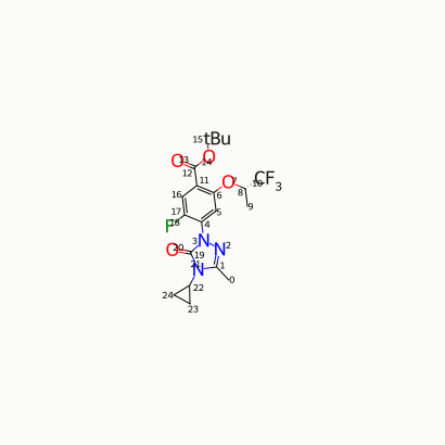 Cc1nn(-c2cc(O[C@@H](C)C(F)(F)F)c(C(=O)OC(C)(C)C)cc2F)c(=O)n1C1CC1